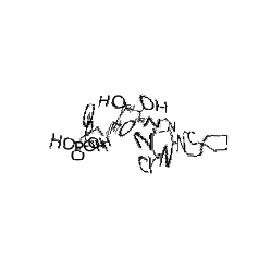 O=P(O)(O)CP(=O)(O)CC[C@H]1O[C@@H](n2cnc3c(N4CCC5(CCCC5)CC4)nc(Cl)nc32)C(O)[C@H]1O